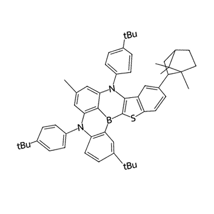 Cc1cc2c3c(c1)N(c1ccc(C(C)(C)C)cc1)c1c(sc4ccc(C5CC6CCC5(C)C6(C)C)cc14)B3c1cc(C(C)(C)C)ccc1N2c1ccc(C(C)(C)C)cc1